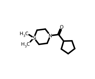 C[Si]1(C)CCN(C(=O)C2CCCC2)CC1